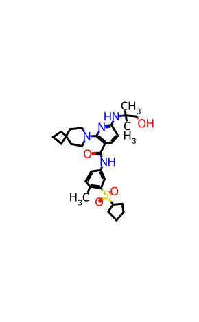 Cc1ccc(NC(=O)c2ccc(NC(C)(C)CO)nc2N2CCC3(CCC3)CC2)cc1S(=O)(=O)C1CCCC1